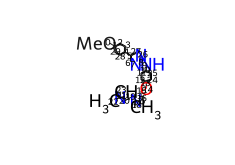 COc1ccc(-c2cnc(Nc3ccc(OCCN(C)CCN(C)C)cc3)nc2)cc1